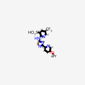 CC(C)Oc1ccc(-c2nsc(Nc3ncc(C(F)(F)F)cc3S(=O)(=O)O)n2)nc1